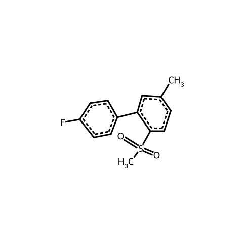 Cc1ccc(S(C)(=O)=O)c(-c2ccc(F)cc2)c1